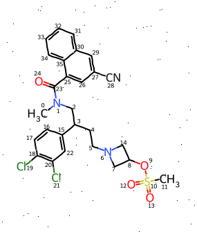 CN(CC(CCN1CC(OS(C)(=O)=O)C1)c1ccc(Cl)c(Cl)c1)C(=O)c1cc(C#N)cc2ccccc12